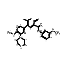 C=C/C(=C\C(=C(C)C)c1cnc(OC(C)C)c(N2CCOCC2)c1)C(=O)Nc1cccc(OC(F)(F)F)c1